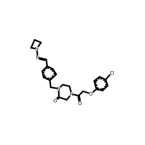 O=C(COc1ccc(Cl)cc1)N1CCN(Cc2ccc(/C=N/N3CCC3)cc2)C(=O)C1